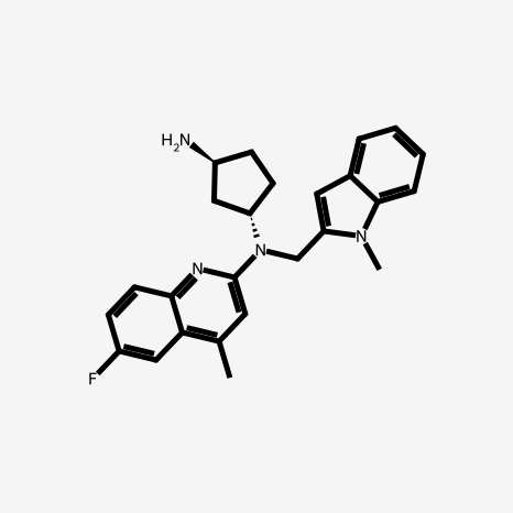 Cc1cc(N(Cc2cc3ccccc3n2C)[C@H]2CC[C@H](N)C2)nc2ccc(F)cc12